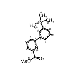 COC(=O)c1cccc(-c2cccc(S(C)(C)C)c2)n1